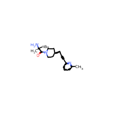 CCCCC(C)(N)C(=O)N1CCC(=CC#Cc2cccc(C)n2)CC1